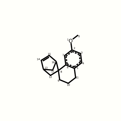 COc1ccc2c(c1)C1(CCC2)CC2C=CC1C2